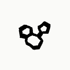 c1ccc2c(c1)CCCCC2=C1CCCC1